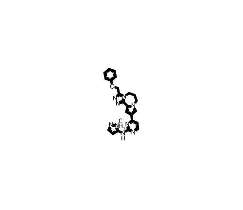 Cn1nccc1Nc1nccc(-c2cc3n(c2)CCCn2c(COc4ccccc4)nnc2-3)n1